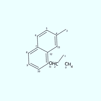 C.CC=O.Cc1ccc2ccccc2c1